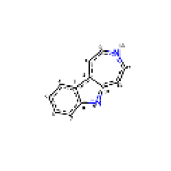 [c]1cc2c3ccccc3nc-2ccn1